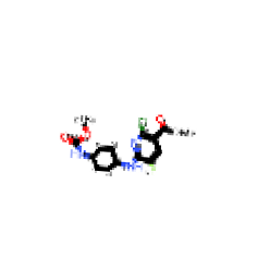 COC(=O)c1cc(F)c(NC2CCC(NC(=O)OC(C)(C)C)CC2)nc1Cl